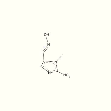 Cn1c(/C=N/O)cnc1[N+](=O)[O-]